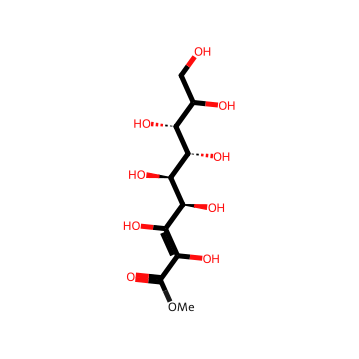 COC(=O)/C(O)=C(\O)[C@H](O)[C@@H](O)[C@@H](O)[C@H](O)C(O)CO